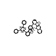 CC1C2=C(C=C3C=CC=CC31)OC1C#CC=C(c3ccc4c(c3)oc3cccc(-c5nc(-c6ccccc6)nc(-c6ccccc6)n5)c34)C21